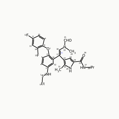 CCSNc1ccc(Oc2ccc(F)cc2F)c(/C(=C/N(C)C=O)c2cc(C(=O)NC(C)C)[nH]c2C)c1